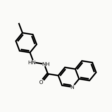 Cc1ccc(NNC(=O)c2cnc3ccccc3c2)cc1